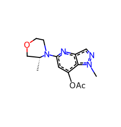 CC(=O)Oc1cc(N2CCOC[C@H]2C)nc2cnn(C)c12